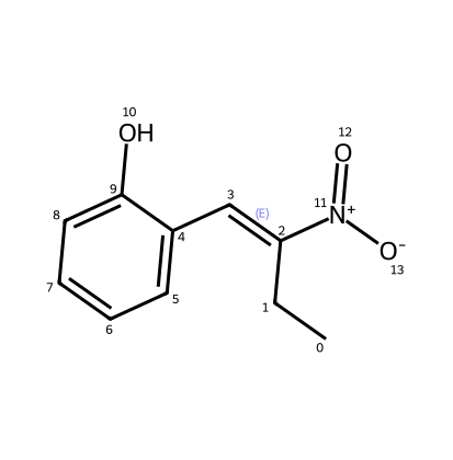 CC/C(=C\c1ccccc1O)[N+](=O)[O-]